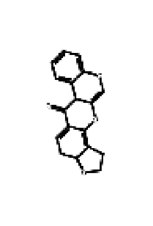 O=C1C2=CCC3OCCC3=C2OC2=COc3ccccc3C12